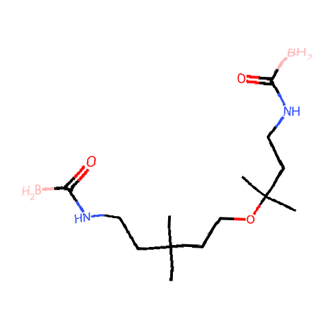 BC(=O)NCCC(C)(C)CCOC(C)(C)CCNC(B)=O